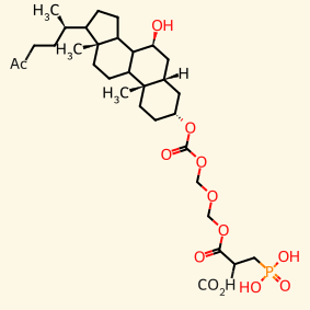 CC(=O)CC[C@@H](C)C1CCC2C3C(CC[C@@]21C)[C@@]1(C)CC[C@@H](OC(=O)OCOCOC(=O)C(CP(=O)(O)O)C(=O)O)C[C@H]1C[C@@H]3O